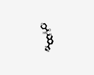 O=C(Nc1cc2cc(-c3cncs3)ccc2cn1)C1CCOCC1